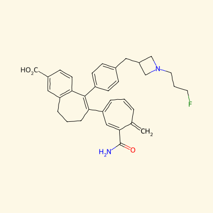 C=C1C=CC=C(C2=C(c3ccc(CC4CN(CCCF)C4)cc3)c3ccc(C(=O)O)cc3CCC2)C=C1C(N)=O